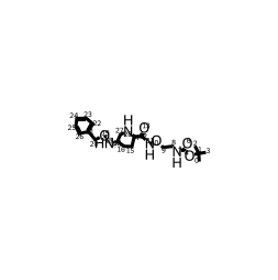 CC(C)(C)OC(=O)NCCONC(=O)C1CC[C@@H](NOCc2ccccc2)CN1